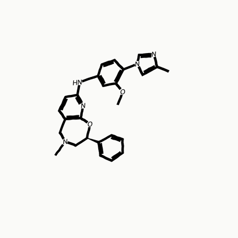 COc1cc(Nc2ccc3c(n2)O[C@@H](c2ccccc2)CN(C)C3)ccc1-n1cnc(C)c1